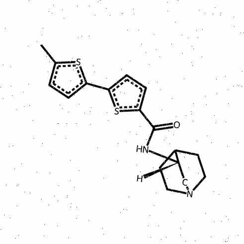 Cc1ccc(-c2ccc(C(=O)N[C@H]3CN4CCC3CC4)s2)s1